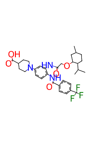 CC1CCC(C(C)C)C(OCC(=O)Nc2cc(N3CCC(C(=O)O)CC3)ccc2NC(=O)c2ccc(C(F)(F)F)cc2)C1